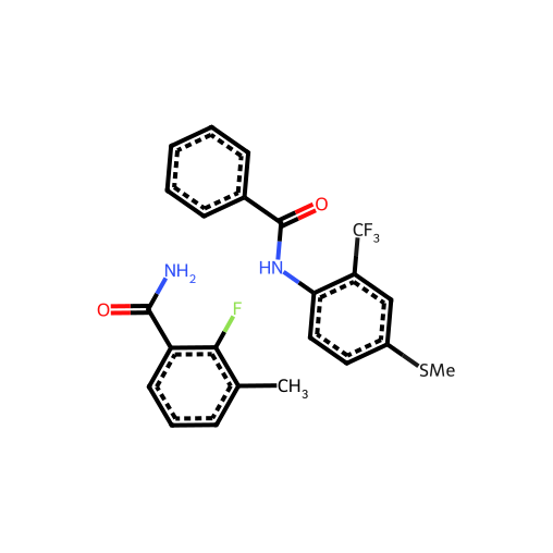 CSc1ccc(NC(=O)c2ccccc2)c(C(F)(F)F)c1.Cc1cccc(C(N)=O)c1F